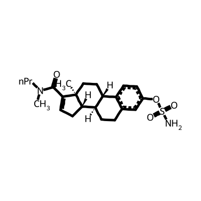 CCCN(C)C(=O)C1=CC[C@H]2[C@@H]3CCc4cc(OS(N)(=O)=O)ccc4[C@H]3CC[C@]12C